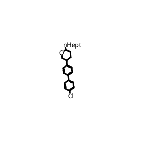 CCCCCCCC1CCC(c2ccc(-c3ccc(Cl)cc3)cc2)CO1